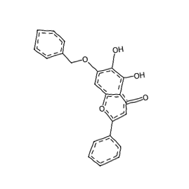 O=c1cc(-c2ccccc2)oc2cc(OCc3ccccc3)c(O)c(O)c12